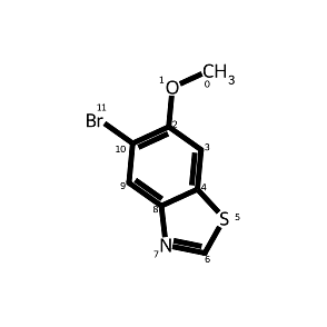 COc1cc2scnc2cc1Br